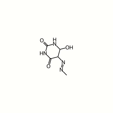 CN=NC1C(=O)NC(=O)NC1O